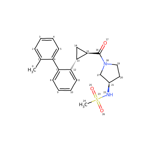 Cc1ccccc1-c1ccccc1[C@@H]1C[C@H]1C(=O)N1CC[C@@H](NS(C)(=O)=O)C1